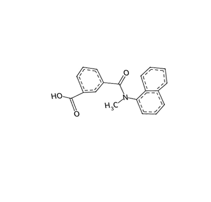 CN(C(=O)c1cccc(C(=O)O)c1)c1cccc2ccccc12